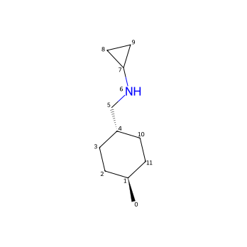 C[C@H]1CC[C@H](CNC2CC2)CC1